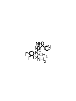 C[C@@H](C(N)=O)N(c1ccc(F)c(F)c1)c1nc(N)c(C(=O)c2cccnc2)s1